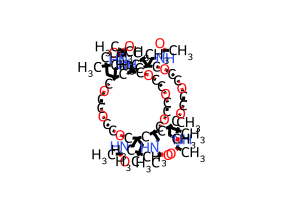 CC(=O)NCC1(CC(C)(C)C)COCCOCCOCC(CNC(C)=O)(CC(C)(C)C)CC2(CNC(C)=O)COCCOCCOCC(CNC(C)=O)(C1)CC(CNC(C)=O)(C(C)(C)C)COCCOCCOCC(CNC(C)=O)(C(C)(C)C)C2